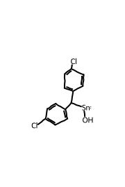 [OH][Sn][CH](c1ccc(Cl)cc1)c1ccc(Cl)cc1